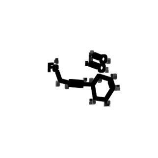 [C]=O.[C]=O.[Fe][CH2]C#CC1CC=CCC1